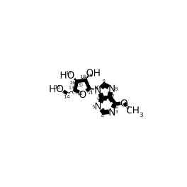 COc1ncnc2c1ncn2[C@@H]1O[C@H](CO)[C@@H](O)[C@@H]1O